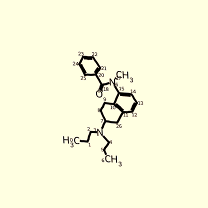 CCCN(CCC)C1CCc2c(cccc2N(C)C(=O)c2ccccc2)C1